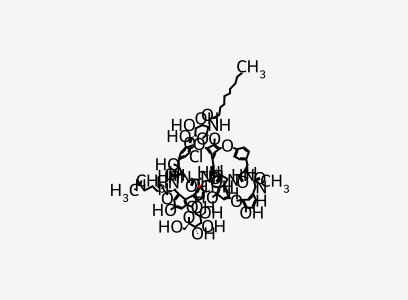 CCCCCCCCCCC(=O)N[C@H]1[C@H](Oc2c3cc4cc2Oc2ccc(cc2Cl)[C@@H](O)[C@@H]2NC(=O)[C@H](NC(=O)[C@@H]4NC(=O)[C@H]4NC(=O)[C@@H](Cc5ccc(cc5)O3)NC(=O)[C@H](NC)c3ccc(O)c(c3)Oc3cc(O)c(Cl)c4c3)c3ccc(O)c(c3)-c3c(O[C@H]4O[C@H](CO)[C@@H](O)[C@H](O)[C@@H]4O)cc(O)cc3[C@@H](C(=O)NCCCN(C)C)NC2=O)O[C@H](C(=O)O)[C@@H](O)[C@@H]1O